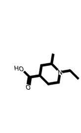 CCN1CCC(C(=O)O)CC1C